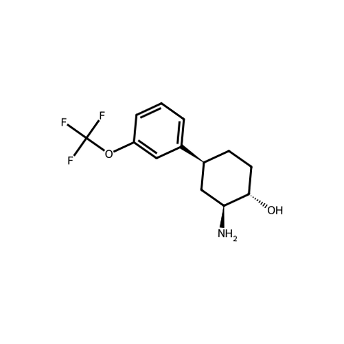 N[C@H]1C[C@@H](c2cccc(OC(F)(F)F)c2)CC[C@@H]1O